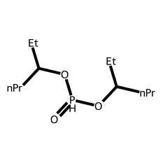 CCCC(CC)O[PH](=O)OC(CC)CCC